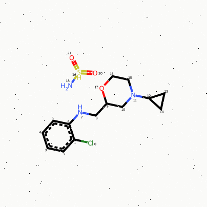 Clc1ccccc1NCC1CN(C2CC2)CCO1.N[SH](=O)=O